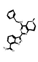 CN1CCc2nc(-c3noc4c(C(N)=O)cccc34)nc(NCc3ccccc3)c2C1